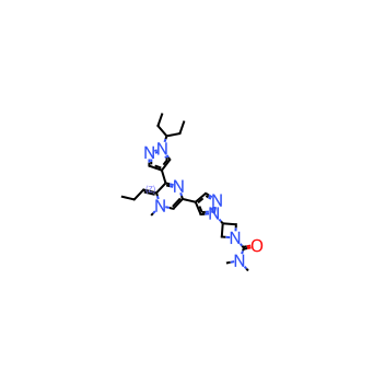 CC/C=C1/C(c2cnn(C(CC)CC)c2)=NC(c2cnn(C3CN(C(=O)N(C)C)C3)c2)=CN1C